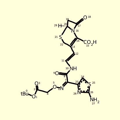 CC(C)(C)OC(=O)CO/N=C(\C(=O)NC=CC1=C(C(=O)O)N2C(=O)C[C@@H]2SC1)c1csc(N)n1